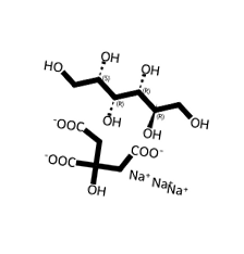 O=C([O-])CC(O)(CC(=O)[O-])C(=O)[O-].OC[C@@H](O)[C@@H](O)[C@H](O)[C@@H](O)CO.[Na+].[Na+].[Na+]